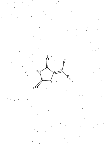 O=C1CC(=C(F)F)C(=O)O1